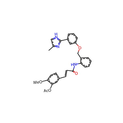 COc1ccc(/C=C/C(=O)Nc2ccccc2COc2cccc(-c3nc(C)c[nH]3)c2)cc1OC(C)=O